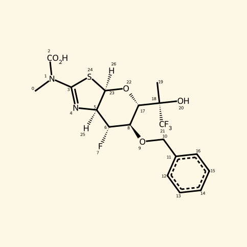 CN(C(=O)O)C1=N[C@@H]2[C@@H](F)[C@H](OCc3ccccc3)[C@@H]([C@@](C)(O)C(F)(F)F)O[C@@H]2S1